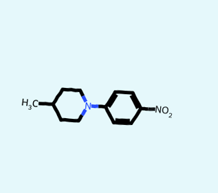 CC1CCN(c2ccc([N+](=O)[O-])cc2)CC1